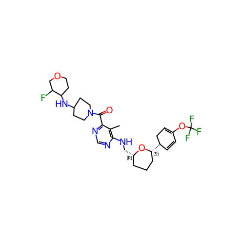 Cc1c(NC[C@H]2CCC[C@@H](C3C=CC(OC(F)(F)F)=CC3)O2)ncnc1C(=O)N1CCC(NC2CCOCC2F)CC1